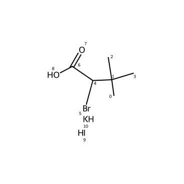 CC(C)(C)C(Br)C(=O)O.I.[KH]